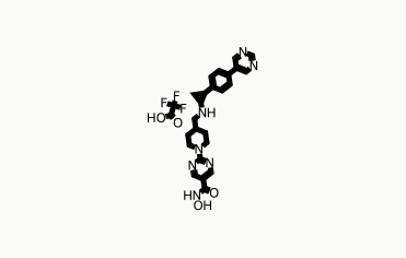 O=C(NO)c1cnc(N2CCC(CNC3CC3c3ccc(-c4cncnc4)cc3)CC2)nc1.O=C(O)C(F)(F)F